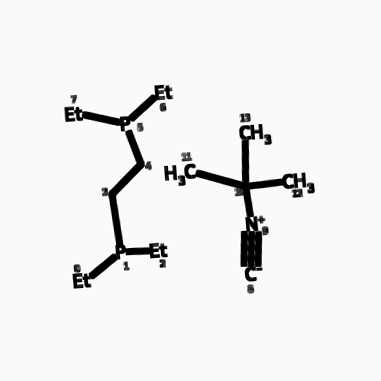 CCP(CC)CCP(CC)CC.[C-]#[N+]C(C)(C)C